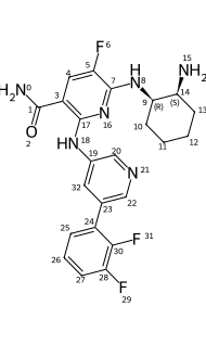 NC(=O)c1cc(F)c(N[C@@H]2CCCC[C@@H]2N)nc1Nc1cncc(-c2cccc(F)c2F)c1